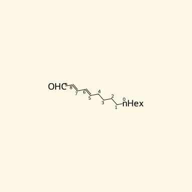 CCCCCCCCCC/C=C/C=C/C=O